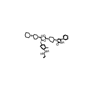 C=CNNc1ccc(C[C@@H](OC(=O)N2CCC(n3cc(-c4ccccc4)[nH]c3=O)CC2)C(=O)N2CCC(N3CCCCC3)CC2)cc1C